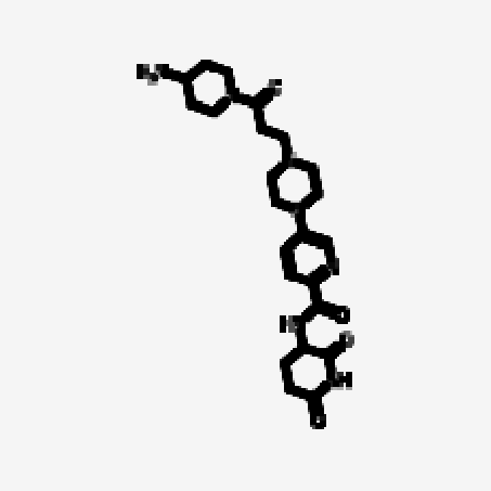 NC1CCN(C(=O)CCN2CCN(c3ccc(C(=O)NC4CCC(=O)NC4=O)nc3)CC2)CC1